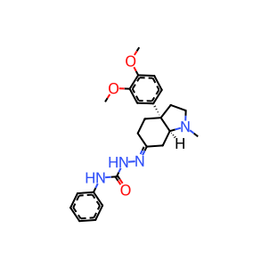 COc1ccc([C@@]23CC/C(=N\NC(=O)Nc4ccccc4)C[C@@H]2N(C)CC3)cc1OC